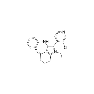 CCn1c2c(c(Nc3ccccc3)c1-c1ccncc1Cl)C(=O)CCC2